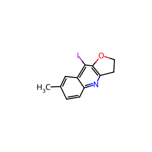 Cc1ccc2nc3c(c(I)c2c1)OCC3